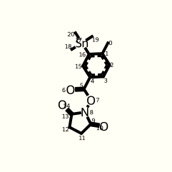 Cc1ccc(C(=O)ON2C(=O)CCC2=O)c[c]1[Sn]([CH3])([CH3])[CH3]